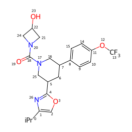 CC(C)c1coc(C2CC(c3ccc(OC(F)(F)F)cc3)CN(C(=O)N3CC(O)C3)C2)n1